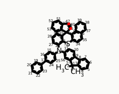 CC1(C)c2ccccc2-c2ccc(N(c3ccc(-c4ccccc4)cc3)c3cccc4c3Sc3ccc5ccccc5c3C43c4ccccc4-c4ccccc43)cc21